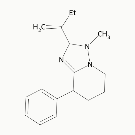 C=C(CC)C1N=C2C(c3ccccc3)CCCN2N1C